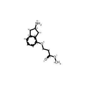 COC(=O)CCOc1cccc2c1CC(N)C2